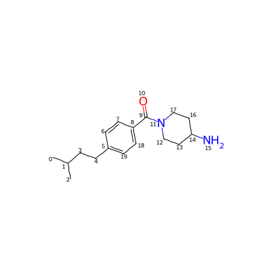 CC(C)CCc1ccc(C(=O)N2CCC(N)CC2)cc1